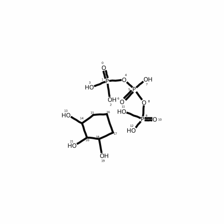 O=P(O)(O)OP(=O)(O)OP(=O)(O)O.OC1CCCC(O)C1O